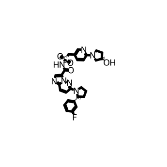 O=C(NS(=O)(=O)Cc1ccc(N2CC[C@@H](O)C2)nc1)c1cnc2ccc(N3CCC[C@@H]3c3cccc(F)c3)nn12